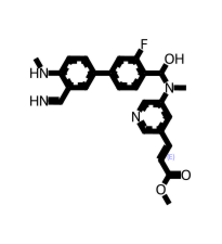 CNc1ccc(-c2ccc(C(O)N(C)c3cncc(/C=C/C(=O)OC)c3)c(F)c2)cc1C=N